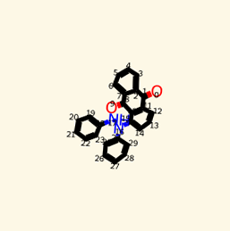 O=C1c2ccccc2C(=O)c2c1cccc2N(Nc1ccccc1)c1ccccc1